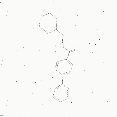 O=C(NCC1CCOCC1)c1cnc(-c2ccccc2)nc1